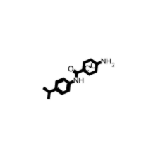 CC(C)c1ccc(NC(=O)C23CCC(N)(CC2)CC3)cc1